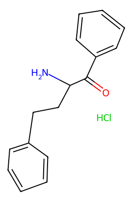 Cl.NC(CCc1ccccc1)C(=O)c1ccccc1